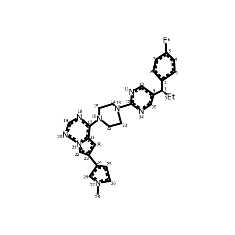 CC[C@H](c1ccc(F)cc1)c1cnc(N2CCN(c3ncnn4cc(-c5ccn(C)c5)cc34)CC2)nc1